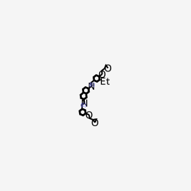 CCc1cc(/C=N/c2ccc3ccc(/N=C/c4cccc(OCC5CO5)c4)cc3c2)ccc1OCC1CO1